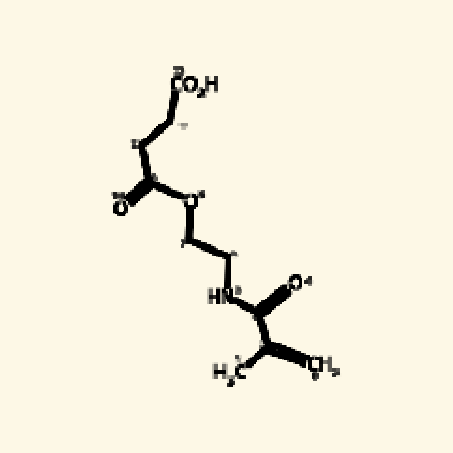 C=C(C)C(=O)NCCOC(=O)CCC(=O)O